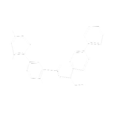 O=C(O)CC(NC(=O)c1cc(-c2ccc(F)cc2F)ccc1O)c1ccc(-c2ccccc2)cc1